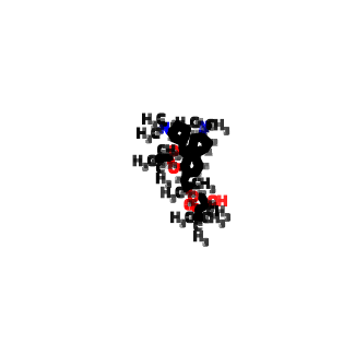 CN(C)c1cccc(C2(c3cccc(N(C)C)c3)OC(C(C)(C)C)Oc3c(CC(C)(C)OCC(C)(O)C(=O)C(C)(C)C)cccc32)c1